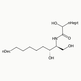 CCCCCCCCCCCCCCC[C@@H](O)[C@H](CO)NC(=O)C(O)CCCCCCC